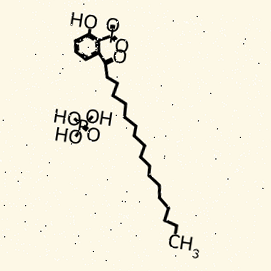 CCCCCCCCCCCCCCCCCC(=O)c1cccc(O)c1I(=O)=O.O=P(O)(O)O